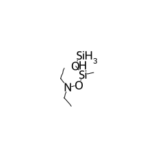 CCN(CC)O[SiH](C)O[SiH3]